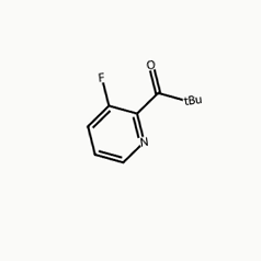 CC(C)(C)C(=O)c1ncccc1F